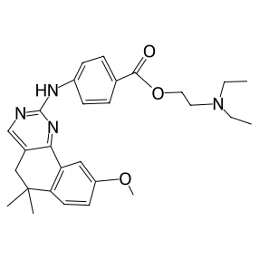 CCN(CC)CCOC(=O)c1ccc(Nc2ncc3c(n2)-c2cc(OC)ccc2C(C)(C)C3)cc1